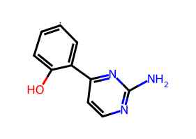 Nc1nccc(-c2c[c]ccc2O)n1